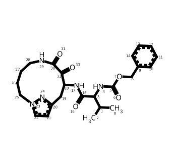 CC(C)C(NC(=O)OCc1ccccc1)C(=O)NC1Cc2ccn(n2)CCCCNC(=O)C1=O